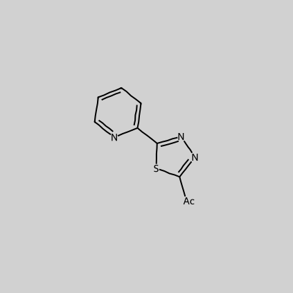 CC(=O)c1nnc(-c2ccccn2)s1